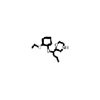 CCCC(Oc1ccccc1OCC)C1CNCCO1